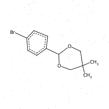 CC1(C)COC(c2ccc(Br)cc2)OC1